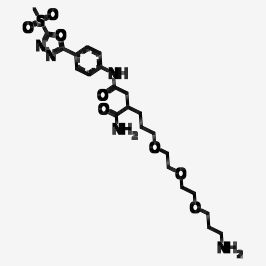 CS(=O)(=O)c1nnc(-c2ccc(NC(=O)CC(CCCOCCOCCOCCCN)C(N)=O)cc2)o1